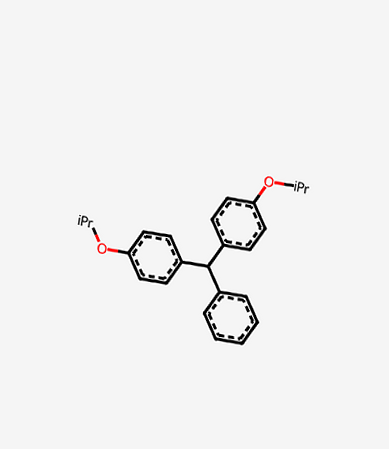 CC(C)Oc1ccc([C](c2ccccc2)c2ccc(OC(C)C)cc2)cc1